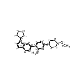 COC1CCN(c2ncc(-c3cc4c(ccn4C4CCCC4)cn3)c(N)n2)CC1